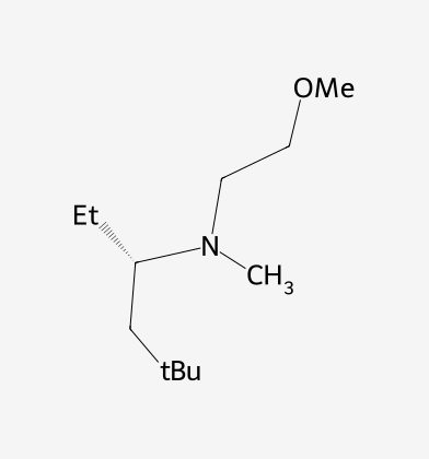 CC[C@@H](CC(C)(C)C)N(C)CCOC